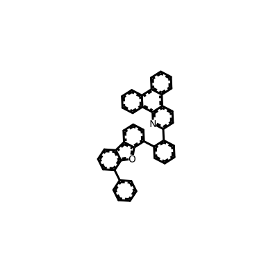 c1ccc(-c2cccc3c2oc2c(-c4ccccc4-c4ccc5c6ccccc6c6ccccc6c5n4)cccc23)cc1